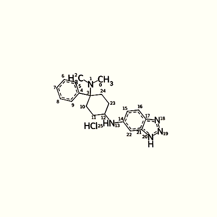 CN(C)C1(c2ccccc2)CCC(Nc2ccc3nn[nH]c3c2)CC1.Cl